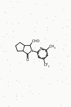 Cc1cc(C(F)(F)F)cc(N2C(=O)C3CCCC3C2C=O)n1